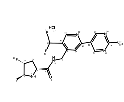 C[C@@H]1N[C@H](C(=O)NCc2cc(-c3cnc(C(F)(F)F)nc3)ncc2C(F)F)C[C@H]1F.Cl